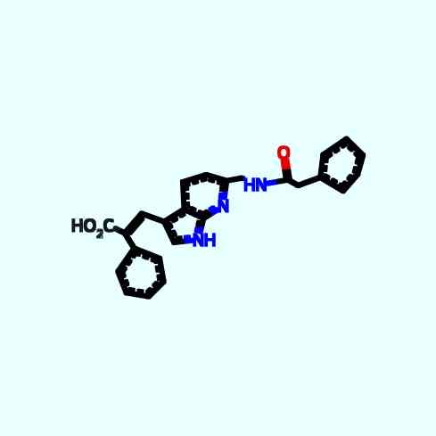 O=C(Cc1ccccc1)NCc1ccc2c(C=C(C(=O)O)c3ccccc3)c[nH]c2n1